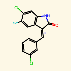 O=C1Nc2cc(Cl)c(F)cc2/C1=C\c1cccc(Cl)c1